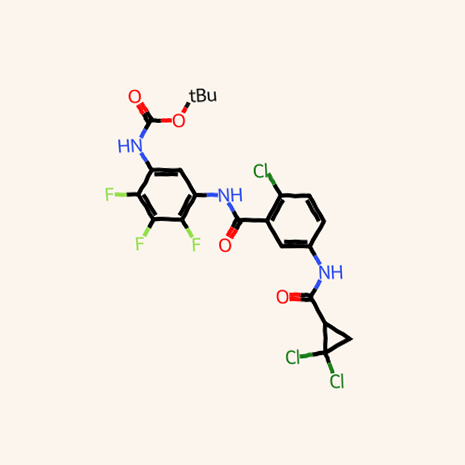 CC(C)(C)OC(=O)Nc1cc(NC(=O)c2cc(NC(=O)C3CC3(Cl)Cl)ccc2Cl)c(F)c(F)c1F